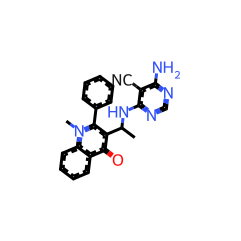 CC(Nc1ncnc(N)c1C#N)c1c(-c2ccccc2)n(C)c2ccccc2c1=O